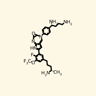 C[C@H](N)CCCc1cc(OC(F)(F)F)c(F)c(-c2cc3c([nH]2)=NC2OC2N(c2ccc([C@H](N)CCCN)cc2)C=3)c1